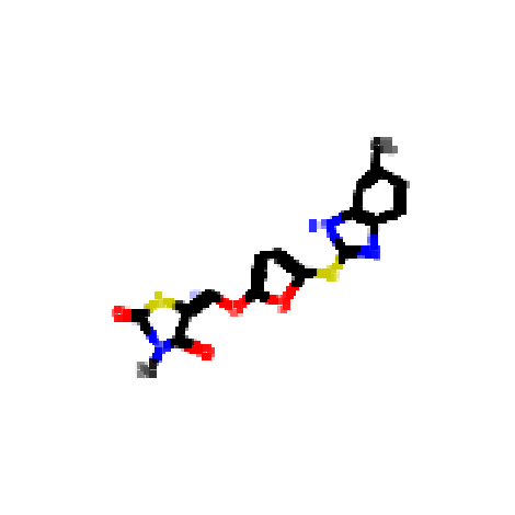 CCC(C)N1C(=O)S/C(=C/Oc2ccc(Sc3nc4ccc(C)cc4[nH]3)o2)C1=O